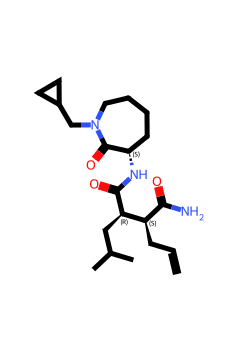 C=CC[C@H](C(N)=O)[C@@H](CC(C)C)C(=O)N[C@H]1CCCCN(CC2CC2)C1=O